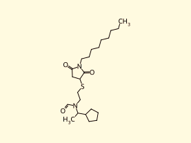 CCCCCCCCCN1C(=O)CC(SCCN(C=O)C(C)C2CCCC2)C1=O